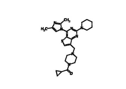 Cc1cn(-c2nc(N3CCCCC3)nc3c(CN4CCN(C(=O)C5CC5)CC4)csc23)c(C)n1